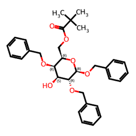 CC(C)(C)C(=O)OC[C@H]1O[C@@H](OCc2ccccc2)[C@H](OCc2ccccc2)[C@@H](O)[C@H]1OCc1ccccc1